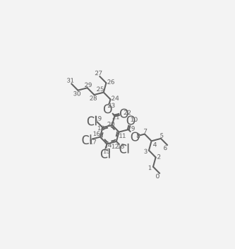 CCCCC(CC)COC(=O)c1c(Cl)c(Cl)c(Cl)c(Cl)c1C(=O)OCC(CC)CCCC